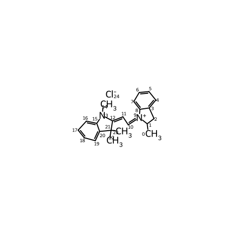 CC1Cc2ccccc2[N+]1=CC=C1N(C)c2ccccc2C1(C)C.[Cl-]